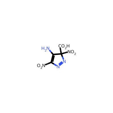 NC1=C([N+](=O)[O-])N=NC1(C(=O)O)[N+](=O)[O-]